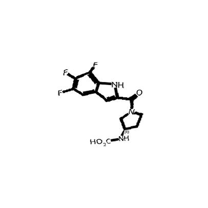 O=C(O)N[C@@H]1CCN(C(=O)c2cc3cc(F)c(F)c(F)c3[nH]2)C1